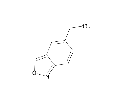 CC(C)(C)Cc1ccc2nocc2c1